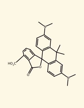 CN(C)c1ccc2c(c1)C(C)(C)c1cc(N(C)C)ccc1C21OC(=O)c2c(C(=O)O)cccc21